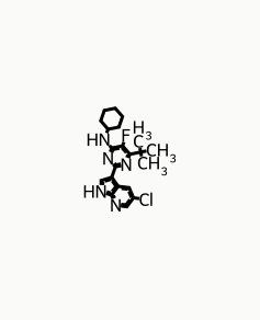 CC(C)(C)c1nc(-c2c[nH]c3ncc(Cl)cc23)nc(NC2CCCCC2)c1F